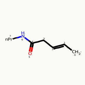 [CH2]C=CCC(=O)NCCC